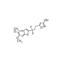 COc1cc2cc(C(F)(F)CCc3cc(O)no3)sc2cc1OC